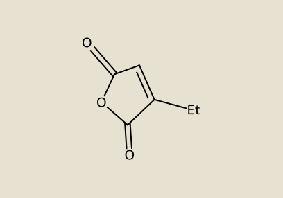 CCC1=CC(=O)OC1=O